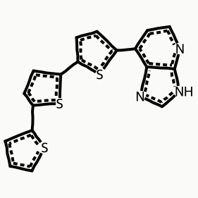 c1csc(-c2ccc(-c3ccc(-c4ccnc5[nH]cnc45)s3)s2)c1